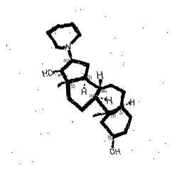 C[C@]12C[C@H](O)CC[C@@H]1CC[C@@H]1[C@@H]2CC[C@]2(C)[C@@H](O)[C@@H](N3CCCCC3)C[C@@H]12